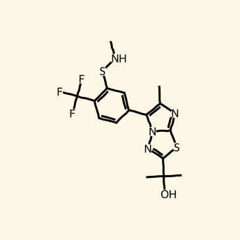 CNSc1cc(-c2c(C)nc3sc(C(C)(C)O)nn23)ccc1C(F)(F)F